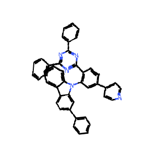 c1ccc(-c2ccc3c4ccccc4n(-c4cc(-c5ccncc5)ccc4-c4nc(-c5ccccc5)nc(-c5ccccc5)n4)c3c2)cc1